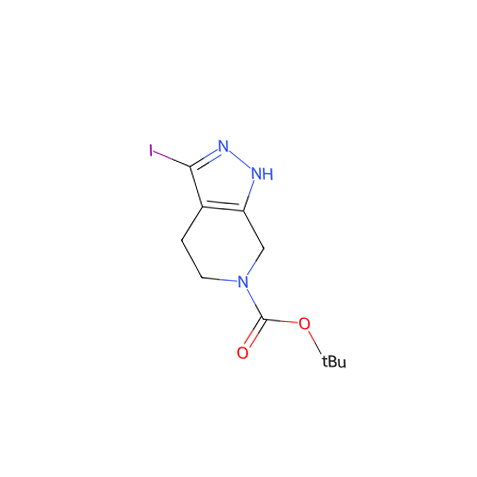 CC(C)(C)OC(=O)N1CCc2c(I)n[nH]c2C1